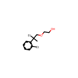 CCc1ccccc1C(C)(CC)COCCO